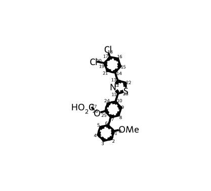 COc1ccccc1-c1ccc(-c2nc(-c3ccc(Cl)c(Cl)c3)cs2)cc1OC(=O)O